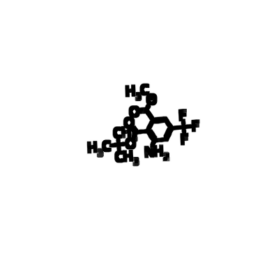 COC(=O)c1cc(C(F)(F)F)cc(N)c1C(=O)OC(C)(C)C